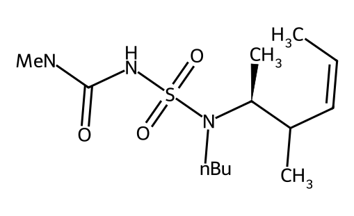 C/C=C\C(C)[C@H](C)N(CCCC)S(=O)(=O)NC(=O)NC